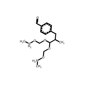 C[SiH2]OCOC(OCO[SiH2]C)C(C)Cc1ccc(C=O)cc1